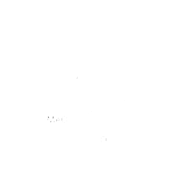 COC(=O)C1=CCC(C)CC1